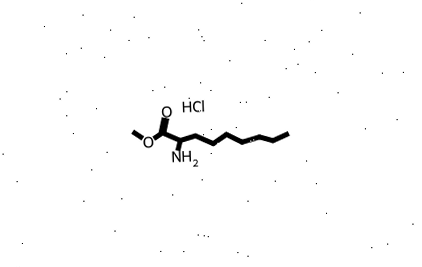 CCCCCCCC(N)C(=O)OC.Cl